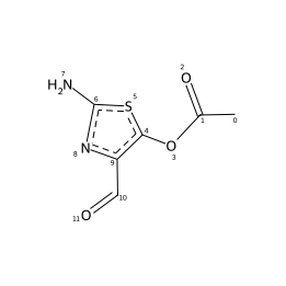 CC(=O)Oc1sc(N)nc1C=O